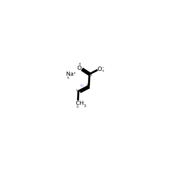 C/C=C/C(=O)[O-].[Na+]